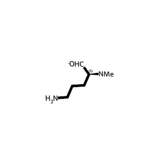 CN[C@H]([C]=O)CCCN